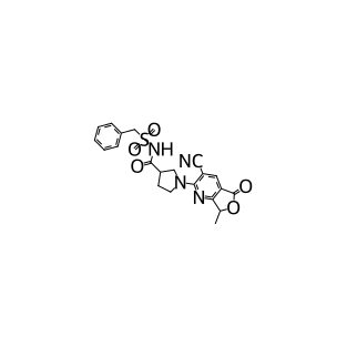 CC1OC(=O)c2cc(C#N)c(N3CCC(C(=O)NS(=O)(=O)Cc4ccccc4)C3)nc21